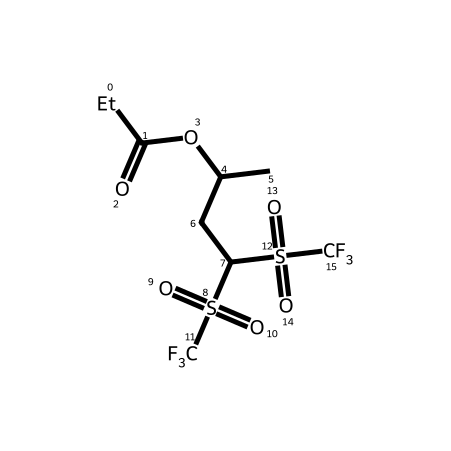 CCC(=O)OC(C)CC(S(=O)(=O)C(F)(F)F)S(=O)(=O)C(F)(F)F